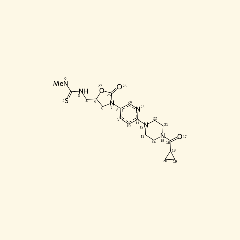 CNC(=S)NCC1CN(c2ccc(N3CCN(C(=O)C4CC4)CC3)nc2)C(=O)O1